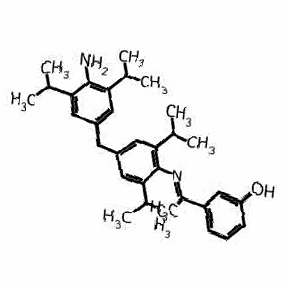 C/C(=N\c1c(C(C)C)cc(Cc2cc(C(C)C)c(N)c(C(C)C)c2)cc1C(C)C)c1cccc(O)c1